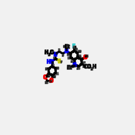 CCN(CCN(C)C(=S)Nc1ccc2c(c1)OCO2)c1cc2c(cc1F)c(=O)c(C(=O)O)cn2CC